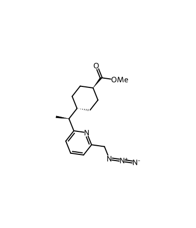 COC(=O)[C@H]1CC[C@H]([C@H](C)c2cccc(CN=[N+]=[N-])n2)CC1